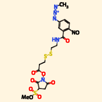 CN=[N+]=Nc1ccc(N=O)c(C(=O)NCCSSCCC(=O)ON2C(=O)CC(S(=O)(=O)OC)C2=O)c1